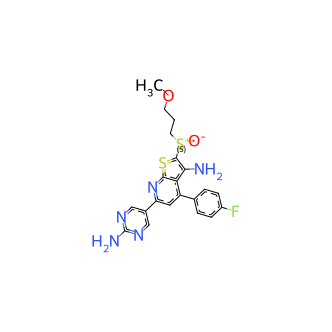 COCCC[S@@+]([O-])c1sc2nc(-c3cnc(N)nc3)cc(-c3ccc(F)cc3)c2c1N